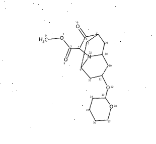 COC(=O)C1C(=O)C2CC3CC(OC4CCCCO4)CC(C2)N31